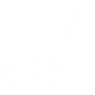 O=C1COc2ccc(CNC(=O)c3nc4nonc4c(=O)[nH]3)cc2N1